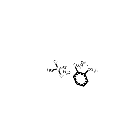 O.O.O=C(O)c1ccccc1C(=O)O.[O-][Cl+3]([O-])([O-])O